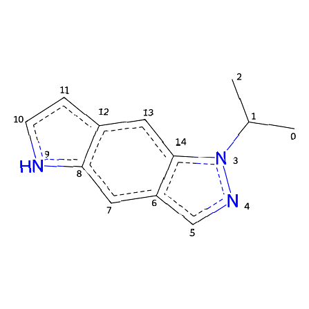 CC(C)n1ncc2cc3[nH]ccc3cc21